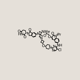 CNC(=O)COc1cc2cc(Nc3nc(N4CCC(OC5CC(N6CC7(CCN7c7ccc8c(c7)C(=O)N([C@@H]7CCC(=O)NC7=O)C8)C6)C5)CC4)ncc3Cl)ccc2n(C(C)C)c1=O